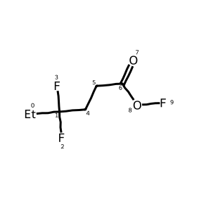 CCC(F)(F)CCC(=O)OF